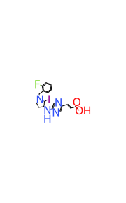 O=C(O)C=Cc1cnc(N[C@@H]2CCN(Cc3ccccc3F)C2I)cn1